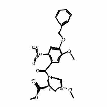 COC(=O)[C@@H]1C[C@@H](OC)CN1C(=O)c1cc(OC)c(OCc2ccccc2)cc1[N+](=O)[O-]